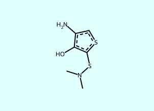 CN(C)Sc1scc(N)c1O